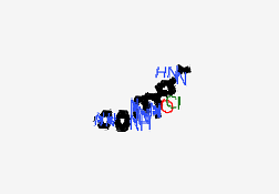 Cc1c[nH]c(-c2ccc(-c3cc4cnc(Nc5ccc(N6CCN(C)CC6)cc5)nc4n(C)c3=O)c(Cl)c2)n1